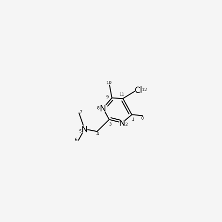 Cc1nc(CN(C)C)nc(C)c1Cl